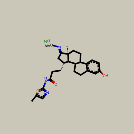 CO/N=C1\C[C@@H](CCC(=O)Nc2ncc(C)s2)C2C3CCc4cc(O)ccc4C3CC[C@]12C.Cl